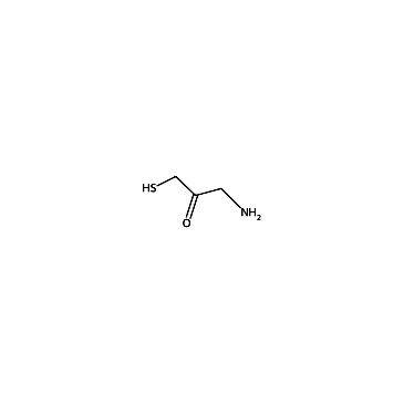 NCC(=O)CS